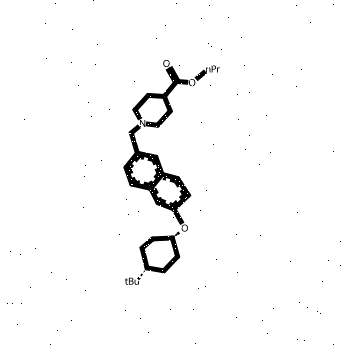 CCCOC(=O)C1CCN(Cc2ccc3cc(O[C@H]4CC[C@@H](C(C)(C)C)CC4)ccc3c2)CC1